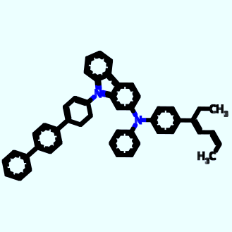 C/C=C\C=C(/CC)c1ccc(N(c2ccccc2)c2ccc3c4ccccc4n(C4=CC=C(c5ccc(-c6ccccc6)cc5)CC4)c3c2)cc1